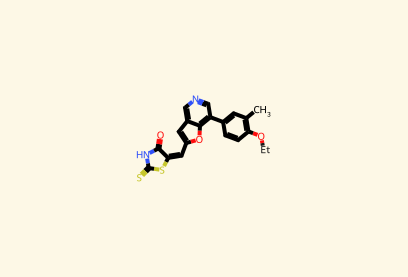 CCOc1ccc(-c2cncc3cc(C=C4SC(=S)NC4=O)oc23)cc1C